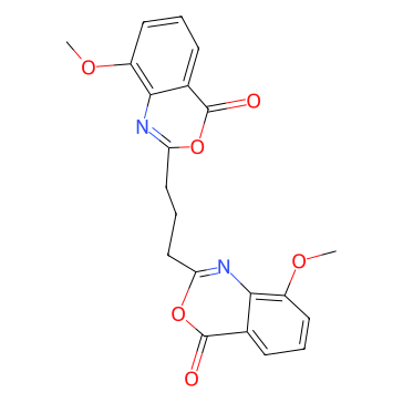 COc1cccc2c(=O)oc(CCCc3nc4c(OC)cccc4c(=O)o3)nc12